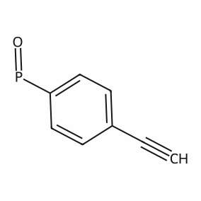 C#Cc1ccc(P=O)cc1